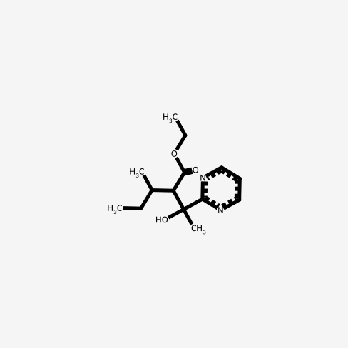 CCOC(=O)C(C(C)CC)C(C)(O)c1ncccn1